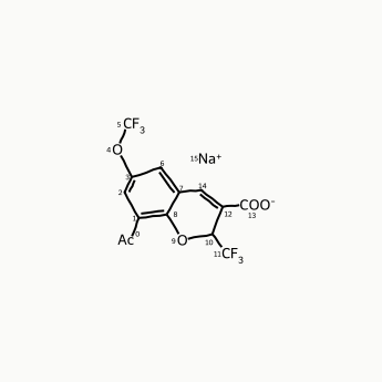 CC(=O)c1cc(OC(F)(F)F)cc2c1OC(C(F)(F)F)C(C(=O)[O-])=C2.[Na+]